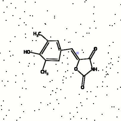 Cc1cc(/C=C2\OC(=O)NC2=O)cc(C)c1O